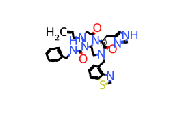 C=CCN1CC(=O)N2C(CN(Cc3cccc4scnc34)C(=O)[C@@H]2Cc2c[nH]cn2)N1C(=O)NCc1ccccc1